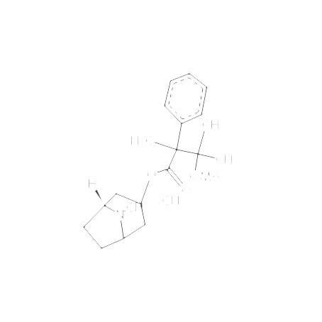 COC(C)(C)C(C)(C(=O)O[C@@]1(C)CC2CC[C@H](C1)N2C)c1ccccc1